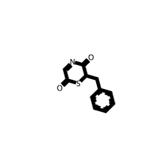 O=C1C=NC(=O)C(Cc2ccccc2)S1